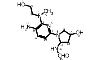 CN(CCO)c1nc(N2CC(O)CC2NC=O)ccc1N